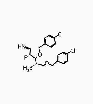 B[C@@H](COCc1ccc(Cl)cc1)[C@@H](OCc1ccc(Cl)cc1)[C@H](F)C=N